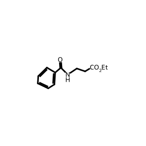 CCOC(=O)CCNC(=O)c1ccccc1